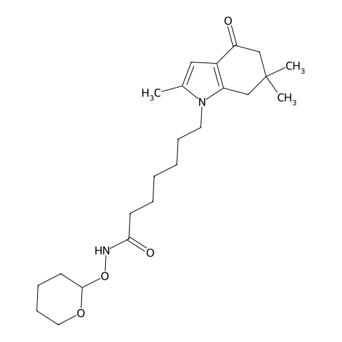 Cc1cc2c(n1CCCCCCC(=O)NOC1CCCCO1)CC(C)(C)CC2=O